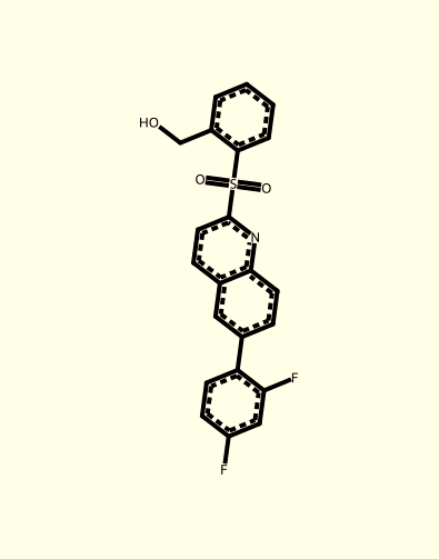 O=S(=O)(c1ccc2cc(-c3ccc(F)cc3F)ccc2n1)c1ccccc1CO